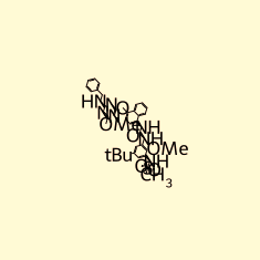 COc1nc(NCc2ccccc2)nc(Oc2ccc(NC(=O)Nc3cc(C(C)(C)C)cc(NS(C)(=O)=O)c3OC)c3ccccc23)n1